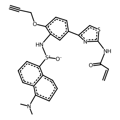 C#CCOc1ccc(-c2csc(NC(=O)C=C)n2)cc1N[S+]([O-])c1cccc2c(N(C)C)cccc12